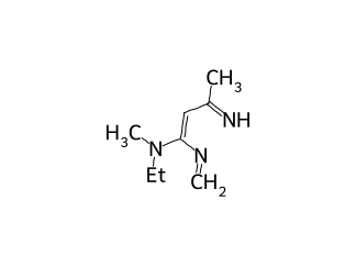 C=N/C(=C\C(C)=N)N(C)CC